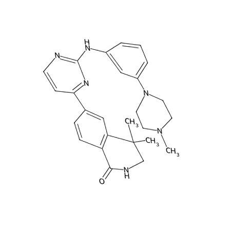 CN1CCN(c2cccc(Nc3nccc(-c4ccc5c(c4)C(C)(C)CNC5=O)n3)c2)CC1